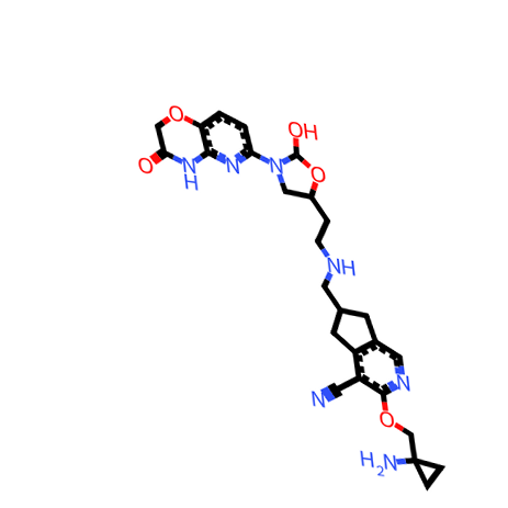 N#Cc1c(OCC2(N)CC2)ncc2c1CC(CNCCC1CN(c3ccc4c(n3)NC(=O)CO4)C(O)O1)C2